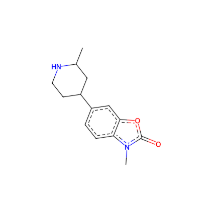 CC1CC(c2ccc3c(c2)oc(=O)n3C)CCN1